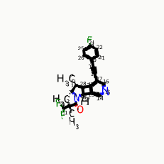 C[C@H]1CN(C(=O)C(C)(C)C(F)F)[C@@H]2c3cncc(C#Cc4ccc(F)cc4)c3C21